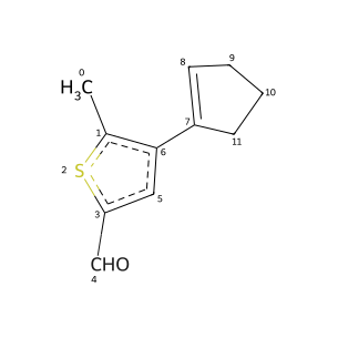 Cc1sc(C=O)cc1C1=CCCC1